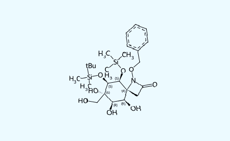 CC(C)(C)[Si](C)(C)O[C@H]1[C@@H](O[Si](C)(C)C)[C@@]2(CC(=O)N2OCc2ccccc2)[C@@H](O)[C@@H](O)[C@@]1(O)CO